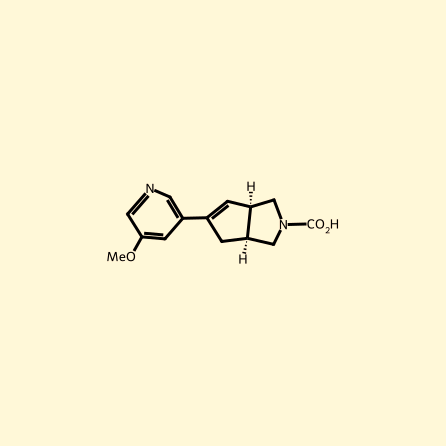 COc1cncc(C2=C[C@H]3CN(C(=O)O)C[C@H]3C2)c1